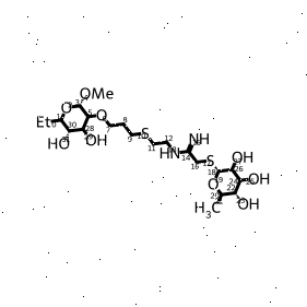 CCC1O[C@H](OC)C(OCCCSCCNC(=N)CS[C@H]2OC(C)[C@@H](O)C(O)C2O)C(O)[C@@H]1O